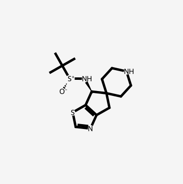 CC(C)(C)[S@@+]([O-])N[C@@H]1c2scnc2CC12CCNCC2